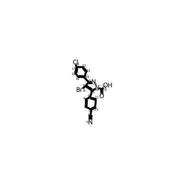 N#Cc1ccc(-c2c(Br)c(-c3ccc(Cl)cc3)nn2C(=O)O)cc1